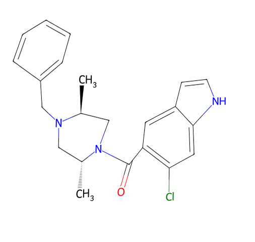 C[C@@H]1CN(Cc2ccccc2)[C@@H](C)CN1C(=O)c1cc2cc[nH]c2cc1Cl